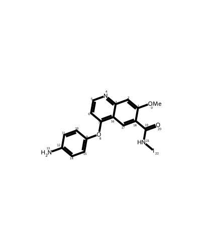 COc1cc2nccc(Oc3ccc(N)cc3)c2cc1C(=O)NI